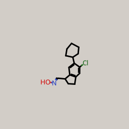 ON=CC1CCc2cc(Cl)c(C3CCCCC3)cc21